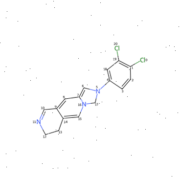 Clc1ccc(N2C=C3C=C4C=NCCC4=CN3C2)cc1Cl